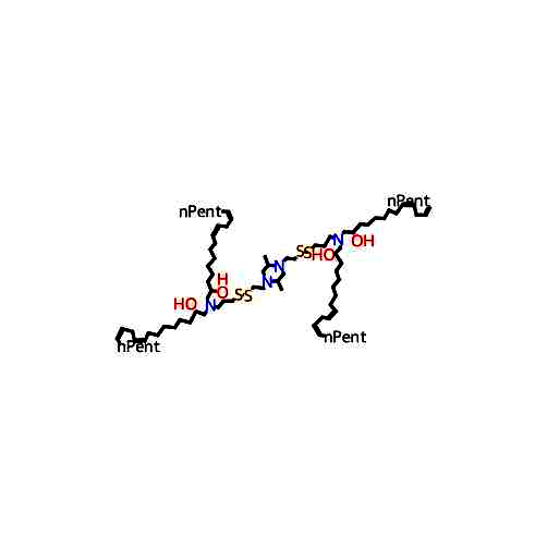 CCCCC/C=C\C/C=C\CCCCCCC(O)CN(CCCSSCCN1CC(C)N(CCSSCCCN(CC(O)CCCCCC/C=C\C/C=C\CCCCC)CC(O)CCCCCC/C=C\C/C=C\CCCCC)CC1C)CC(O)CCCCCC/C=C\C/C=C\CCCCC